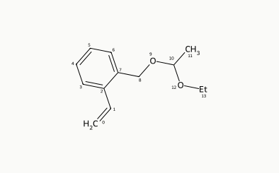 C=Cc1ccccc1COC(C)OCC